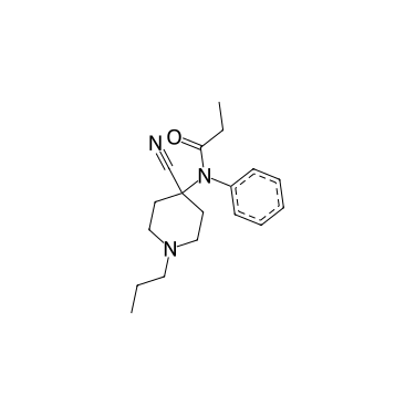 CCCN1CCC(C#N)(N(C(=O)CC)c2ccccc2)CC1